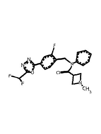 CN1CC(C(=O)N(Cc2ccc(-c3nnc(C(F)F)o3)cc2F)c2ccccc2)C1